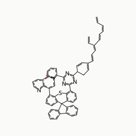 C=C\C=C/C=C/C(C=C)=C/C=C/C1=CCC(c2nc(-c3ccccc3)nc(-c3cccc4c3Sc3c(-c5cccc6cccnc56)cccc3C43c4ccccc4-c4ccccc43)n2)C=C1